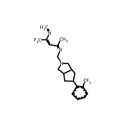 C=N/C(=C\C(C)=N/CN1CC2CC(c3ccccc3C(F)(F)F)CC2C1)C(F)(F)F